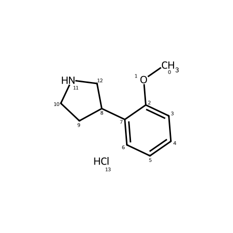 COc1ccccc1C1CCNC1.Cl